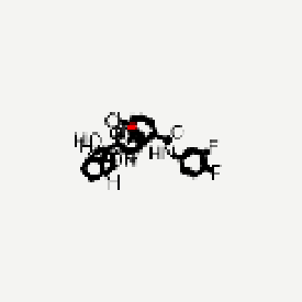 Cc1cccc([C@H](O)[C@@]2(O)[C@@H]3CC[C@H]2C[C@H](S(=O)(=O)c2cc(C(=O)Nc4ccc(F)c(F)c4)ccc2Cl)C3)n1